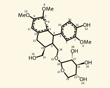 COc1cc(C2c3cc(OC)c(OC)cc3C[C@H](CO)C2CO[C@@H]2OC[C@@H](O)[C@H](O)[C@H]2O)ccc1O